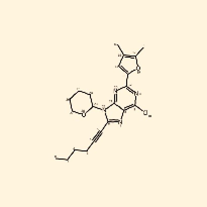 CCCCC#Cc1nc2c(Cl)nc(-c3cc(C)c(C)o3)nc2n1C1CCCCO1